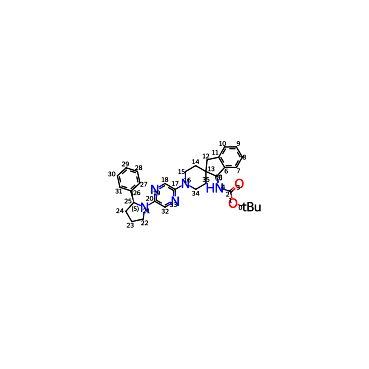 CC(C)(C)OC(=O)N[C@@H]1c2ccccc2CC12CCN(c1cnc(N3CCC[C@H]3c3ccccc3)cn1)CC2